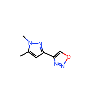 Cc1cc(-c2conn2)nn1C